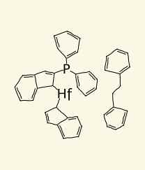 C1=C[CH]([Hf][CH]2C(P(c3ccccc3)c3ccccc3)=Cc3ccccc32)c2ccccc21.c1ccc(CCc2ccccc2)cc1